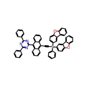 C(#C[Si](c1ccccc1)(c1ccc2oc3ccccc3c2c1)c1ccc2oc3ccccc3c2c1)c1c2ccccc2c(-c2nc(-c3ccccc3)nc(-c3ccccc3)n2)c2ccccc12